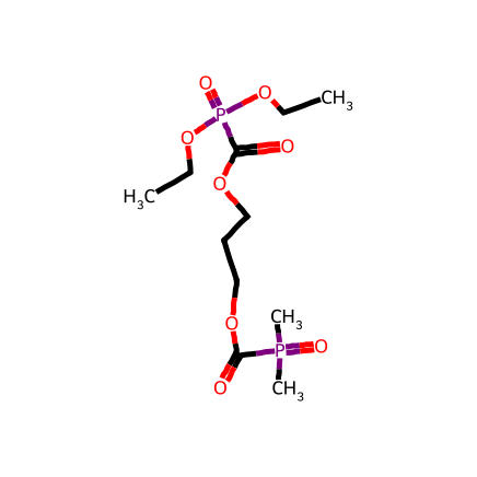 CCOP(=O)(OCC)C(=O)OCCCOC(=O)P(C)(C)=O